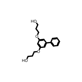 OCCCOc1cc(OCCCO)cc(-c2ccccc2)c1